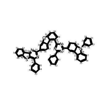 c1ccc(-c2nc(-c3ccc4c(c3)c3ccccc3n4-c3ccccc3)nc(-c3cccc4oc5cc(-c6nc(-c7ccccc7)c7sc8ccccc8c7n6)ccc5c34)n2)cc1